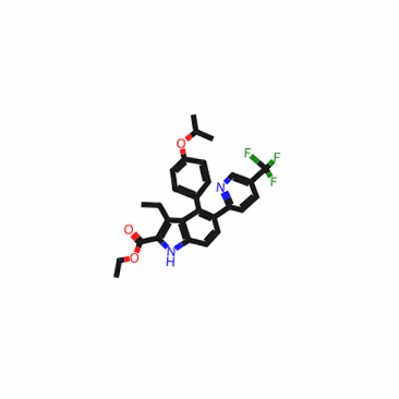 CCOC(=O)c1[nH]c2ccc(-c3ccc(C(F)(F)F)cn3)c(-c3ccc(OC(C)C)cc3)c2c1CC